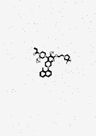 C=CC(=O)N1CCN(c2c(C#N)c(OCCN3CCC(F)(F)C3)nc3c2CCN(c2cccc4cccc(C)c24)C3)C[C@@H]1CC#N